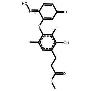 COC(=O)CCc1cc(C)c(OC2=CC(=O)C=C/C2=N\O)c(F)c1O